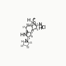 Cn1c(NCl)cc2c3cc(N4CCCC4)[nH]c3ccc21